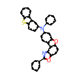 c1ccc(-c2nc3c(ccc4oc5cc(N(c6ccccc6)c6ccc7sc8ccccc8c7c6)ccc5c43)o2)cc1